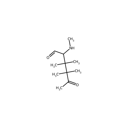 CNC(C=O)C(C)(C)C(C)(C)C(C)=O